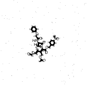 CC(=O)OCC1=C(C(=O)OCc2ccc([N+](=O)[O-])cc2)N2C(=O)C(NC(=O)COc3ccccc3)[C@@H]2SC1=COC=O